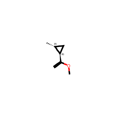 C=C(OC)[C@@H]1C[C@H]1C